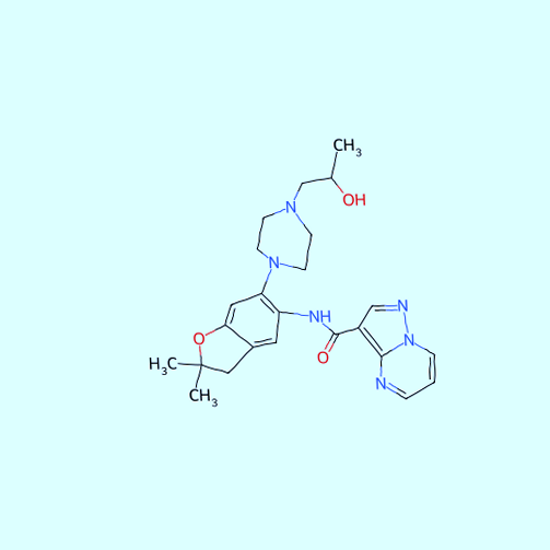 CC(O)CN1CCN(c2cc3c(cc2NC(=O)c2cnn4cccnc24)CC(C)(C)O3)CC1